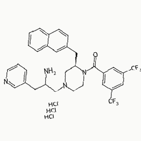 Cl.Cl.Cl.NC(Cc1cccnc1)CN1CCN(C(=O)c2cc(C(F)(F)F)cc(C(F)(F)F)c2)[C@H](Cc2ccc3ccccc3c2)C1